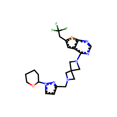 FC(F)(F)Cc1cc2c(N3CC4(CN(Cc5ccn(C6CCCCO6)n5)C4)C3)ncnc2s1